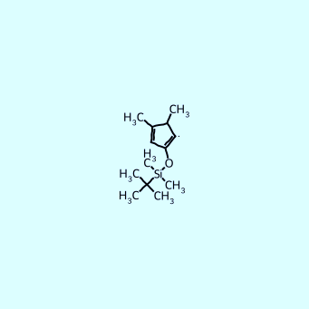 CC1=CC(O[Si](C)(C)C(C)(C)C)=[C]C1C